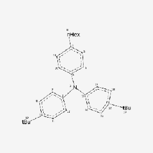 CCCCCCc1ccc(N(c2ccc(C(C)(C)C)cc2)c2ccc(C(C)(C)C)cc2)cc1